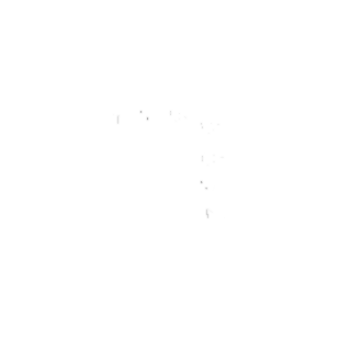 [Ni].[Ni].[O-2].[O-2].[O-2].[Pr+3].[Pr+3]